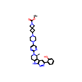 C[C@H]1c2c([nH]c3nnc(-c4ccccc4O)cc23)CCN1c1ncc(N2CCN(C3CC4(C3)CN(C(=O)OC(C)(C)C)C4)CC2)cn1